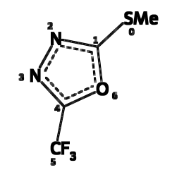 CSc1nnc(C(F)(F)F)o1